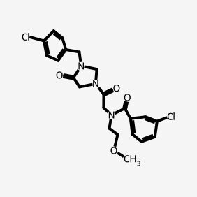 COCCN(CC(=O)N1CC(=O)N(Cc2ccc(Cl)cc2)C1)C(=O)c1cccc(Cl)c1